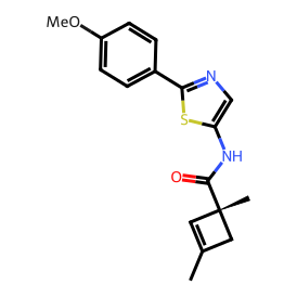 COc1ccc(-c2ncc(NC(=O)[C@@]3(C)C=C(C)C3)s2)cc1